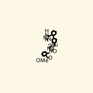 CCCCc1nn(Cc2ccccc2C(=O)OC)c(=O)n1Cc1ccc(-c2ccccc2-c2nnn[nH]2)cc1